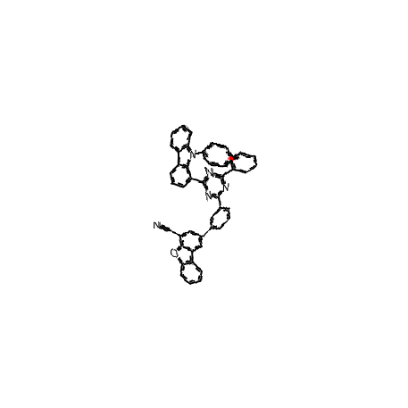 N#Cc1cc(-c2cccc(-c3nc(-c4ccccc4)nc(-c4cccc5c6ccccc6n(-c6ccccc6)c45)n3)c2)cc2c1oc1ccccc12